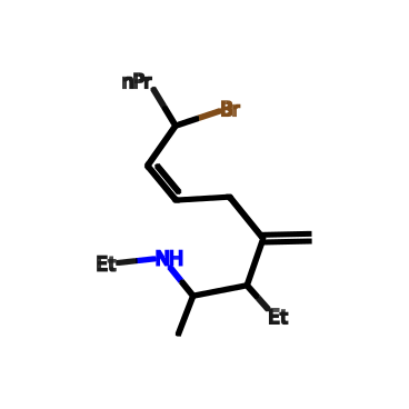 C=C(C/C=C\C(Br)CCC)C(CC)C(C)NCC